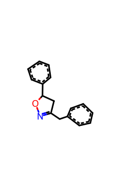 c1ccc(CC2=NOC(c3ccccc3)C2)cc1